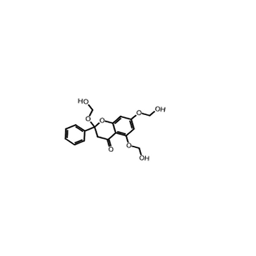 O=C1CC(OCO)(c2ccccc2)Oc2cc(OCO)cc(OCO)c21